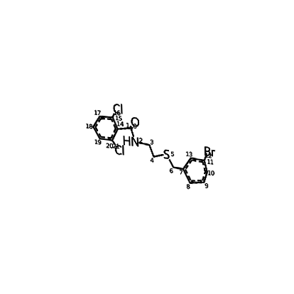 O=C(NCCSCc1cccc(Br)c1)c1c(Cl)cccc1Cl